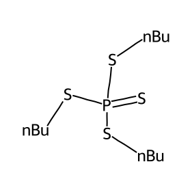 CCCCSP(=S)(SCCCC)SCCCC